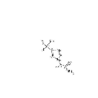 CC(C(N)=O)n1cnc(C(F)(F)F)c1